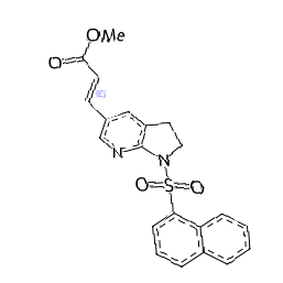 COC(=O)/C=C/c1cnc2c(c1)CCN2S(=O)(=O)c1cccc2ccccc12